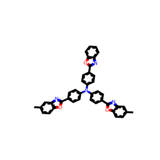 Cc1ccc2oc(-c3ccc(N(c4ccc(-c5nc6ccccc6o5)cc4)c4ccc(-c5nc6cc(C)ccc6o5)cc4)cc3)nc2c1